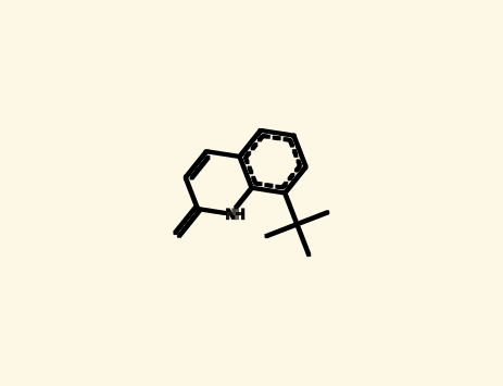 C=C1C=Cc2cccc(C(C)(C)C)c2N1